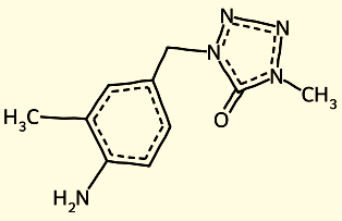 Cc1cc(Cn2nnn(C)c2=O)ccc1N